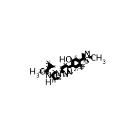 Cc1ncc(-c2cc(O)c(-c3ccc(N4CC[C@H](N[C@H](C)C5CC5)C4)nn3)cc2F)s1